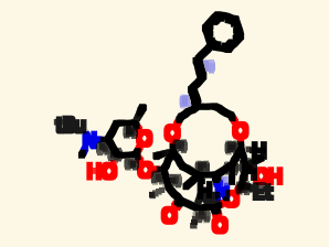 CC[C@H]1OC(=O)[C@H](C)C(=O)[C@H](C)[C@@H](O[C@@H]2O[C@H](C)C[C@H](N(C)C(C)(C)C)[C@H]2O)[C@@]2(C)C[C@@H](C)/C(=N\C(C)=O)[C@H](C)[C@@H](OCC/C(=C\C=C\c3ccccc3)CO2)[C@]1(C)O